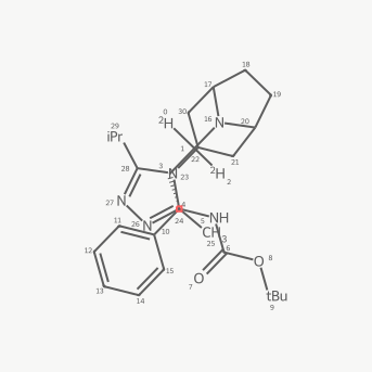 [2H]C([2H])(C[C@H](NC(=O)OC(C)(C)C)c1ccccc1)N1C2CCC1CC(n1c(C)nnc1C(C)C)C2